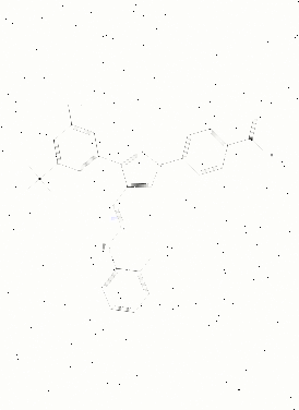 Cc1cc(-c2nn(-c3ccc(C(=O)O)cc3)cc2/C=N/Nc2ccccc2F)cc(C(F)(F)F)c1